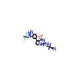 COc1nc(NCC(C)(C)C#N)nn2ccc(-c3ccc4nnn(CC(C)(F)F)c4c3)c12